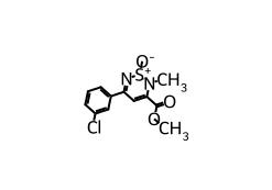 COC(=O)C1=CC(c2cccc(Cl)c2)=N[S+]([O-])N1C